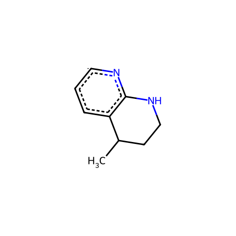 CC1CCNc2n[c]ccc21